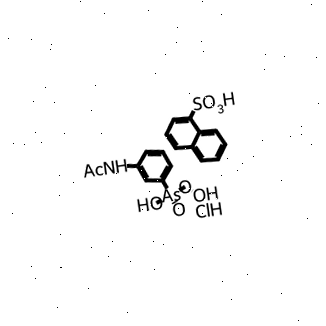 CC(=O)Nc1cccc([As](=O)(O)OO)c1.Cl.O=S(=O)(O)c1cccc2ccccc12